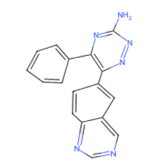 Nc1nnc(-c2ccc3ncncc3c2)c(-c2ccccc2)n1